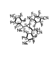 N#CNC(=C1C(C(C#N)c2c(F)c(F)c(C#N)c(F)c2F)C1C(C#N)c1c(F)c(F)c(C#N)c(F)c1F)c1c(F)c(F)c(C#N)c(F)c1F